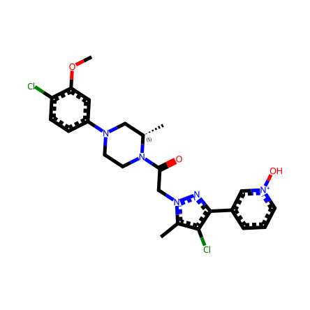 COc1cc(N2CCN(C(=O)Cn3nc(-c4ccc[n+](O)c4)c(Cl)c3C)[C@@H](C)C2)ccc1Cl